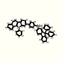 c1ccc(-n2c3cc(-c4ccc(Nc5ccc6c(c5)C(c5ccccc5)(c5ccccc5)c5ccccc5-6)cc4)ccc3c3ccc4ccccc4c32)cc1